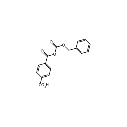 O=C(OCc1ccccc1)OC(=O)c1ccc(C(=O)O)cc1